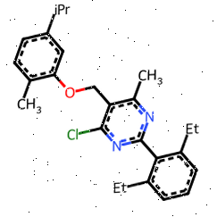 CCc1cccc(CC)c1-c1nc(C)c(COc2cc(C(C)C)ccc2C)c(Cl)n1